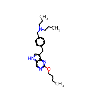 CCCCOc1ncc2[nH]cc(Cc3ccc(CN(CCC)CCC)cc3)c2n1